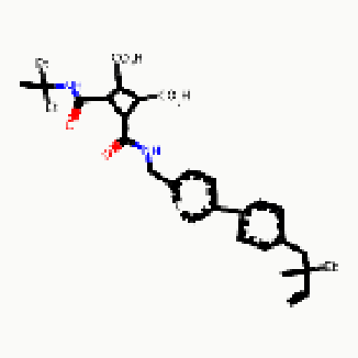 C=CC(C)(CC)Cc1ccc(-c2ccc(CNC(=O)C3C(C(=O)O)C(C(=O)O)C3C(=O)NC(C)(CC)CC)cc2)cc1